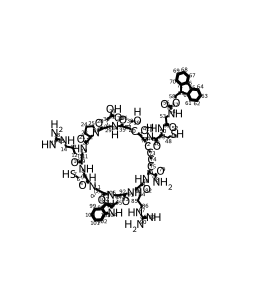 C[C@@H]1NC(=O)[C@H](CS)NC(=O)[C@H](CCCNC(=N)N)NC(=O)C2CCCN2C(=O)[C@H](CC(=O)O)NC(=O)[C@H](CO)CC(=O)[C@@H](NC(=O)[C@H](CS)NC(=O)CNC(=O)OCC2c3ccccc3-c3ccccc32)CCCC[C@@H](C(N)=O)NC(=O)[C@H](CCCNC(=N)N)NC(=O)[C@H](Cc2cc3ccccc3[nH]2)NC1=O